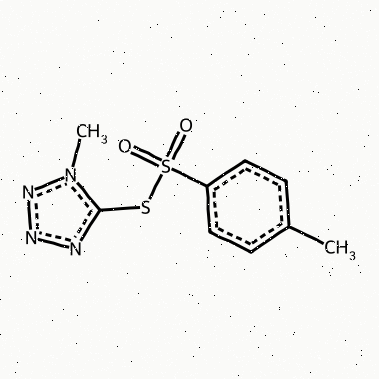 Cc1ccc(S(=O)(=O)Sc2nnnn2C)cc1